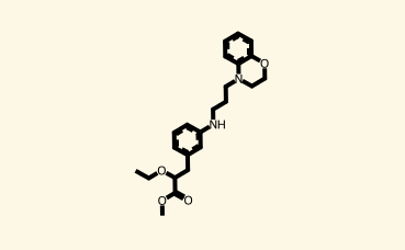 CCOC(Cc1cccc(NCCCN2CCOc3ccccc32)c1)C(=O)OC